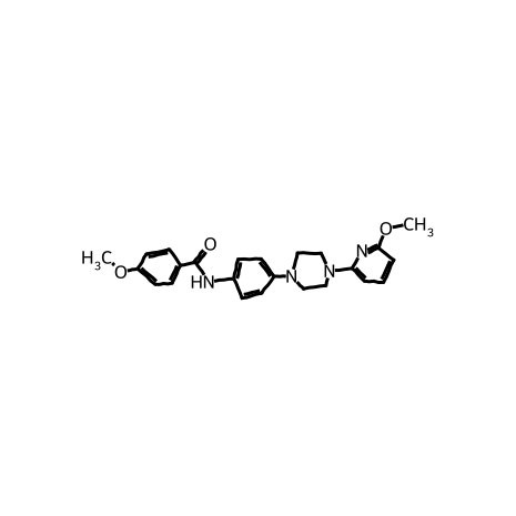 COc1ccc(C(=O)Nc2ccc(N3CCN(c4cccc(OC)n4)CC3)cc2)cc1